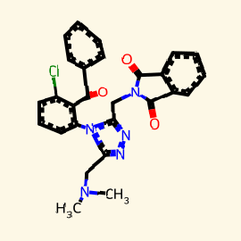 CN(C)Cc1nnc(CN2C(=O)c3ccccc3C2=O)n1-c1cccc(Cl)c1C(=O)c1ccccc1